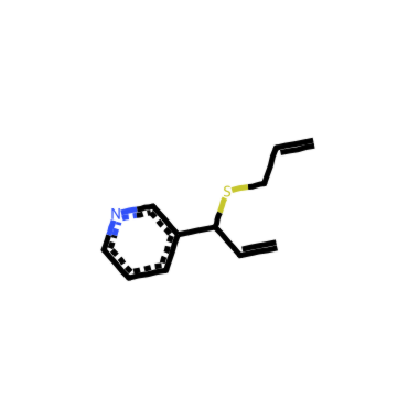 C=CCSC(C=C)c1cccnc1